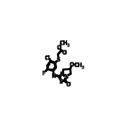 COC(=O)CSc1cc(N=c2sc(=O)n3n2CC(OC)C3)c(F)cc1Cl